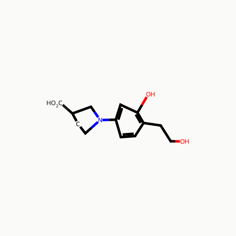 O=C(O)C1CCN(c2ccc(CCO)c(O)c2)C1